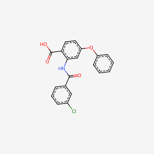 O=C(Nc1cc(Oc2ccccc2)ccc1C(=O)O)c1cccc(Cl)c1